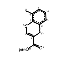 COC(=O)C1=CSc2c(C)cccc2C1